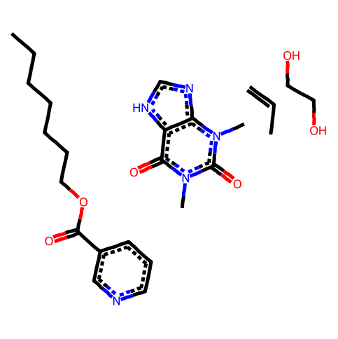 C=CC.CCCCCCCOC(=O)c1cccnc1.Cn1c(=O)c2[nH]cnc2n(C)c1=O.OCCO